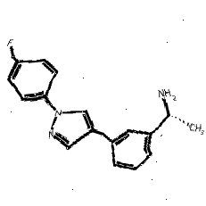 C[C@@H](N)c1cccc(-c2cnn(-c3ccc(F)cc3)c2)c1